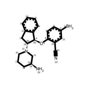 Bc1ccc(O[C@@H]2c3ccccc3C[C@H]2N2CCC[C@H](N)C2)c(C#N)c1